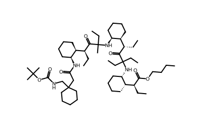 CCCCOC(=O)[C@@H](CC)[C@@H]1CCCC[C@@H]1NC(CC)(CC)C(=O)[C@@H](CC)[C@@H]1CCCC[C@@H]1NC(C)(CC)C(=O)[C@@H](CC)[C@@H]1CCCC[C@@H]1NC(=O)CC1(CNC(=O)OC(C)(C)C)CCCCC1